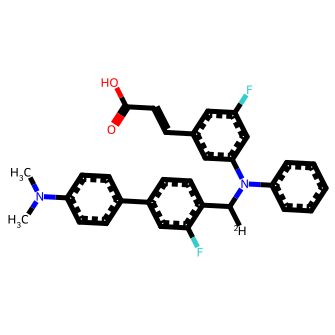 [2H]C(c1ccc(-c2ccc(N(C)C)cc2)cc1F)N(c1ccccc1)c1cc(F)cc(/C=C/C(=O)O)c1